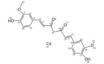 COc1cc(/C=C/C(=O)CC(=O)/C=C/c2ccc(O)c(OC)c2)ccc1O.[Cd]